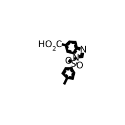 Cc1ccc(S(=O)(=O)n2cnc3ccc(C(=O)O)cc32)cc1